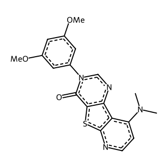 COc1cc(OC)cc(-n2cnc3c(sc4nccc(N(C)C)c43)c2=O)c1